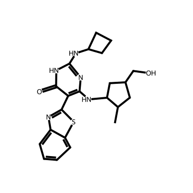 CC1CC(CO)CC1Nc1nc(NC2CCC2)[nH]c(=O)c1-c1nc2ccccc2s1